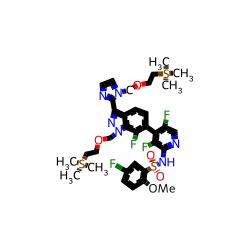 COc1ccc(F)cc1S(=O)(=O)Nc1ncc(F)c(-c2ccc3c(-c4nccn4COCCS(C)(C)C)nn(COCCS(C)(C)C)c3c2F)c1F